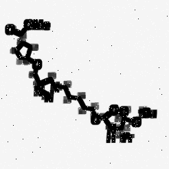 COC(=O)[C@H]1CC[C@H](OCc2cn(CCCCCOC(=O)N[C@H](C(=O)OC(C)(C)C)C(C)C)nn2)C1